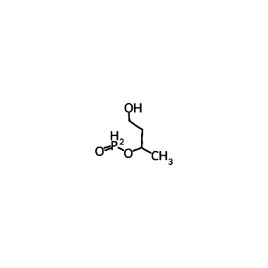 CC(CCO)O[PH2]=O